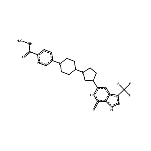 CNC(=O)c1ccc(N2CCC(N3CCC(c4cc5c(C(F)(F)F)n[nH]c5c(=O)[nH]4)C3)CC2)cn1